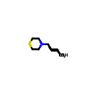 O=C(O)C=CCN1CCSCC1